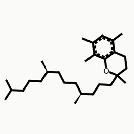 Cc1[c]c(C)c2c(c1C)OC(C)(CCC[C@@H](C)CCC[C@H](C)CCCC(C)C)CC2